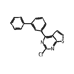 Clc1nc(-c2cccc(-c3ccccc3)c2)c2ccsc2n1